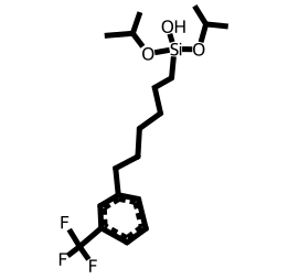 CC(C)O[Si](O)(CCCCCCc1cccc(C(F)(F)F)c1)OC(C)C